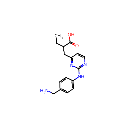 CCC(Cc1ccnc(Nc2ccc(CN)cc2)n1)C(=O)O